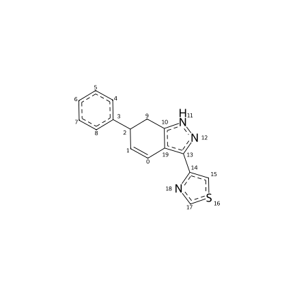 C1=CC(c2ccccc2)Cc2[nH]nc(-c3cscn3)c21